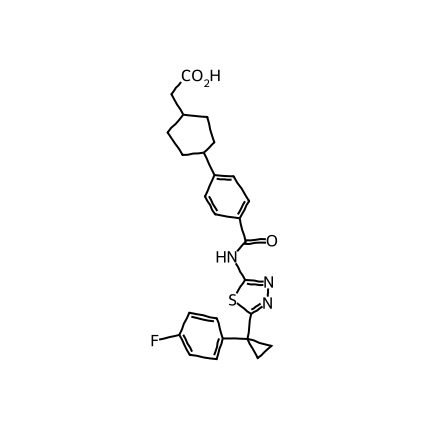 O=C(O)CC1CCC(c2ccc(C(=O)Nc3nnc(C4(c5ccc(F)cc5)CC4)s3)cc2)CC1